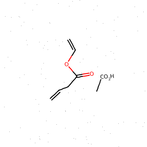 C=CCC(=O)OC=C.CC(=O)O